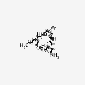 C=NCCN(CCO)CCNOCN(CONCCN(CCN)CCO)C(C)C